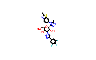 Cc1nc2ccc(-n3c(C)nnc3[C@@H]3O[C@H](CO)[C@H](O)[C@H](n4cc(-c5cc(F)c(F)c(F)c5)nn4)[C@H]3O)cc2s1